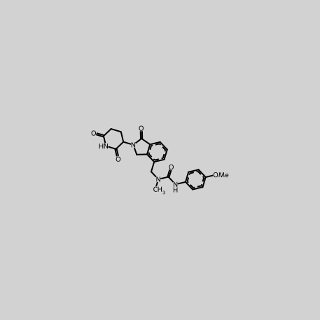 COc1ccc(NC(=O)N(C)Cc2cccc3c2CN(C2CCC(=O)NC2=O)C3=O)cc1